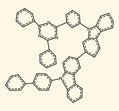 c1ccc(-c2ccc(-n3c4ccccc4c4cc(-c5ccc6c7ccccc7n(-c7cccc(-c8nc(-c9ccccc9)nc(-c9ccccc9)n8)c7)c6c5)ccc43)cc2)cc1